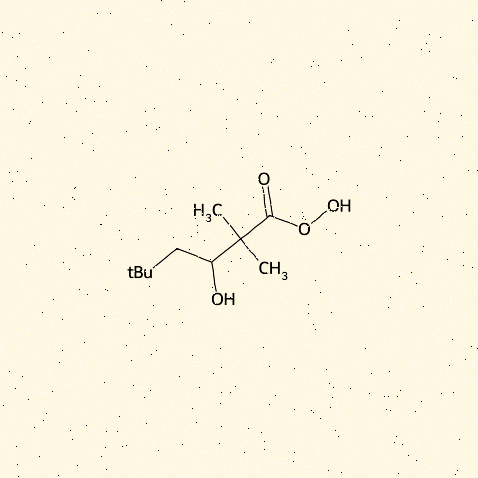 CC(C)(C)CC(O)C(C)(C)C(=O)OO